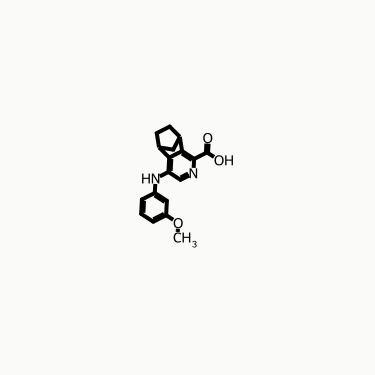 COc1cccc(Nc2cnc(C(=O)O)c3c2C2CCC3C2)c1